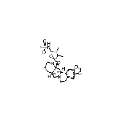 CC(CNS(C)(=O)=O)C(C)S(=O)(=O)N1CCC[C@H]2CN3CCc4cc5c(cc4[C@@H]3C[C@H]21)OCO5